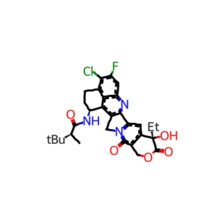 CC[C@@]1(O)C(=O)OCc2c1cc1n(c2=O)Cc2c-1nc1cc(F)c(Cl)c3c1c2[C@@H](NC(=O)[C@@H](C)C(C)(C)C)CC3